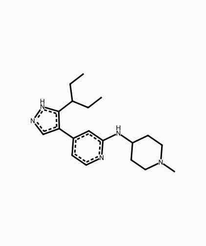 CCC(CC)c1[nH]ncc1-c1ccnc(NC2CCN(C)CC2)c1